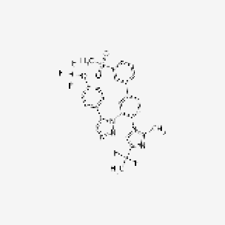 Cc1nc(C(C)(F)F)cn1-c1ccc(-c2cccc(S(C)(=O)=O)c2)cc1-n1nncc1-c1ccc(OC(F)(F)F)cc1